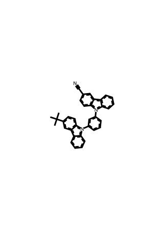 CC(C)(C)c1ccc2c(c1)c1ccccc1n2-c1cccc(-n2c3ccccc3c3cc(C#N)ccc32)c1